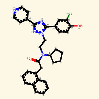 O=C(Cc1cccc2ccccc12)N(CCn1nc(-c2ccncc2)nc1-c1ccc(O)c(Cl)c1)C1CCCC1